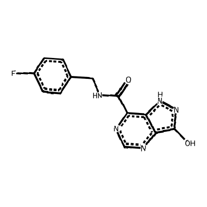 O=C(NCc1ccc(F)cc1)c1ncnc2c(O)n[nH]c12